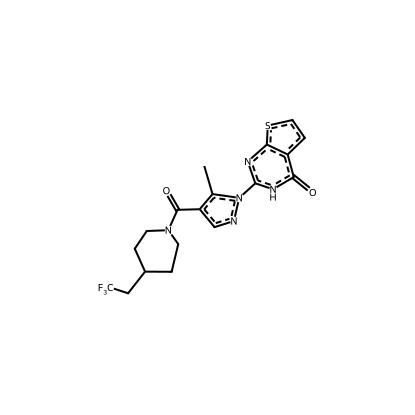 Cc1c(C(=O)N2CCC(CC(F)(F)F)CC2)cnn1-c1nc2sccc2c(=O)[nH]1